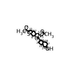 CC(=O)CN(Cc1ccc2sc(C(C)=O)cc2c1)C(=O)c1ccc2cc(O)ccc2c1